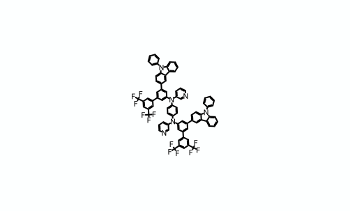 FC(F)(F)c1cc(-c2cc(-c3ccc4c(c3)c3ccccc3n4-c3ccccc3)cc(N(c3ccc(N(c4cccnc4)c4cc(-c5cc(C(F)(F)F)cc(C(F)(F)F)c5)cc(-c5ccc6c(c5)c5ccccc5n6-c5ccccc5)c4)cc3)c3cccnc3)c2)cc(C(F)(F)F)c1